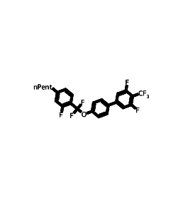 CCCCCc1ccc(C(F)(F)Oc2ccc(-c3cc(F)c(C(F)(F)F)c(F)c3)cc2)c(F)c1